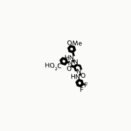 COc1ccc(CNc2nc3c(c(=O)n2-c2cccc(C(=O)O)c2)CN(C(=O)Nc2ccc(F)c(F)c2)CC3)cc1